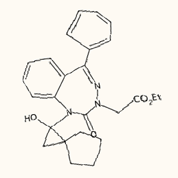 CCOC(=O)CN1N=C(c2ccccc2)c2ccccc2N(C2(O)CC23CCCC3)C1=O